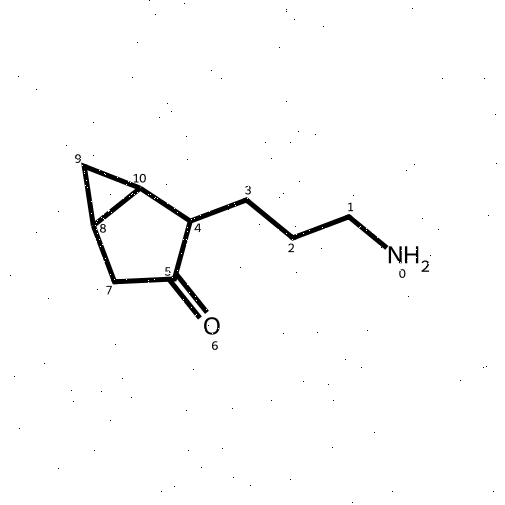 NCCCC1C(=O)CC2CC21